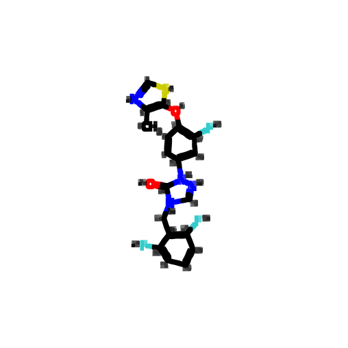 Cc1ncsc1Oc1ccc(-n2ncn(Cc3c(F)cccc3F)c2=O)cc1F